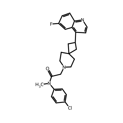 CN(C(=O)CN1CCC2(CC1)CC(c1ccnc3ccc(F)cc13)C2)c1ccc(Cl)cc1